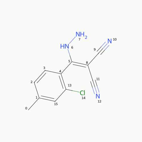 Cc1ccc(C(NN)=C(C#N)C#N)c(Cl)c1